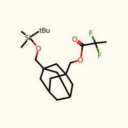 CC(F)(F)C(=O)OCC12CC3CC(C1)CC(CO[Si](C)(C)C(C)(C)C)(C3)C2